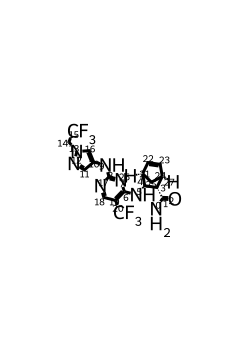 NC(=O)[C@@H]1[C@H](Nc2nc(Nc3cnn(CC(F)(F)F)c3)ncc2C(F)(F)F)[C@H]2C=C[C@@H]1C2